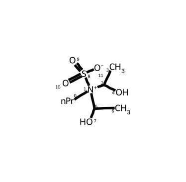 CCC[N+](C(C)O)(C(C)O)S(=O)(=O)[O-]